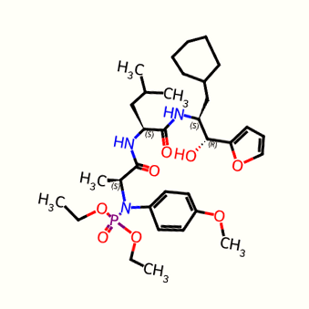 CCOP(=O)(OCC)N(c1ccc(OC)cc1)[C@@H](C)C(=O)N[C@@H](CC(C)C)C(=O)N[C@@H](CC1CCCCC1)[C@@H](O)c1ccco1